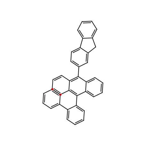 c1ccc(-c2ccccc2-c2c3ccccc3c(-c3ccc4c(c3)Cc3ccccc3-4)c3ccccc23)cc1